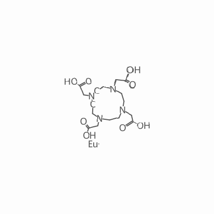 O=C(O)CN1CCN(CC(=O)O)CCN(CC(=O)O)CCN(CC(=O)O)CC1.[Eu]